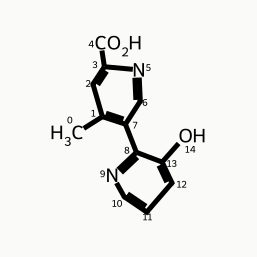 Cc1cc(C(=O)O)ncc1-c1ncccc1O